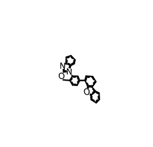 c1ccc2c(c1)nc1n2-c2cc(-c3cccc4c3oc3ccccc34)ccc2CO1